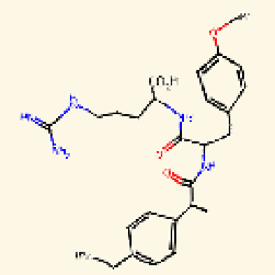 CC(C)Cc1ccc(C(C)C(=O)NC(Cc2ccc(OC(C)C)cc2)C(=O)NC(CCCNC(=N)N)C(=O)O)cc1